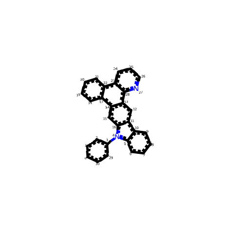 c1ccc(-n2c3ccccc3c3cc4c(cc32)c2ccccc2c2cccnc24)cc1